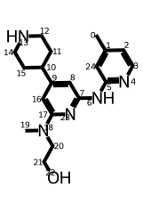 Cc1ccnc(Nc2cc(C3CCNCC3)cc(N(C)CCO)n2)c1